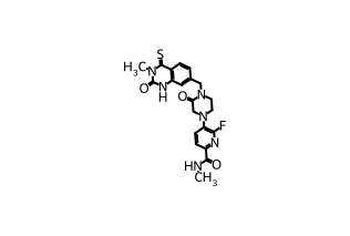 CNC(=O)c1ccc(N2CCN(Cc3ccc4c(=S)n(C)c(=O)[nH]c4c3)C(=O)C2)c(F)n1